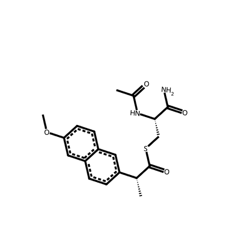 COc1ccc2cc([C@@H](C)C(=O)SC[C@H](NC(C)=O)C(N)=O)ccc2c1